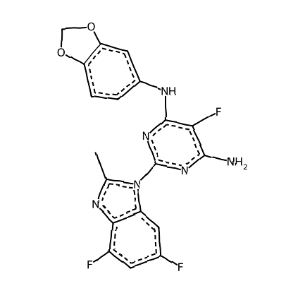 Cc1nc2c(F)cc(F)cc2n1-c1nc(N)c(F)c(Nc2ccc3c(c2)OCO3)n1